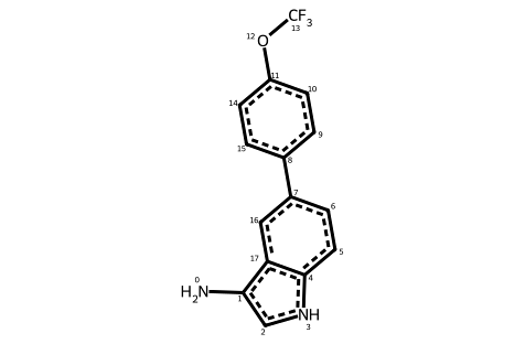 Nc1c[nH]c2ccc(-c3ccc(OC(F)(F)F)cc3)cc12